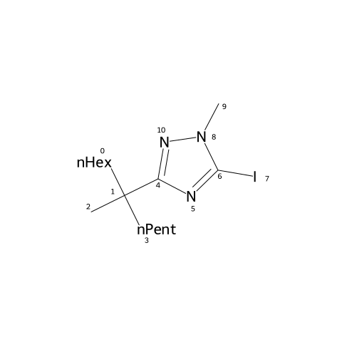 CCCCCCC(C)(CCCCC)c1nc(I)n(C)n1